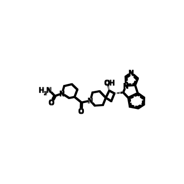 NC(=O)N1CCCC(C(=O)N2CCC3(CC2)C[C@@H](C2c4ccccc4-c4cncn42)[C@H]3O)C1